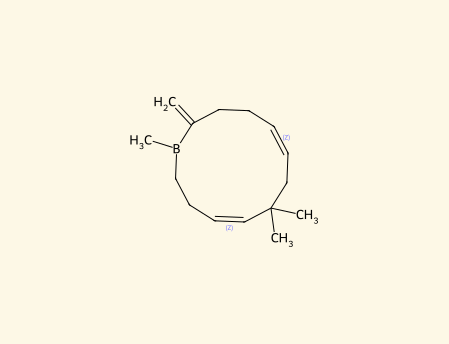 C=C1CC/C=C\CC(C)(C)/C=C\CCB1C